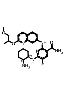 COCC(C)Oc1ccc2ccc(Nc3nc(N[C@@H]4CCCC[C@@H]4N)c(F)cc3C(N)=O)cc2n1